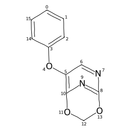 c1ccc(Oc2cnc3nc2OCO3)cc1